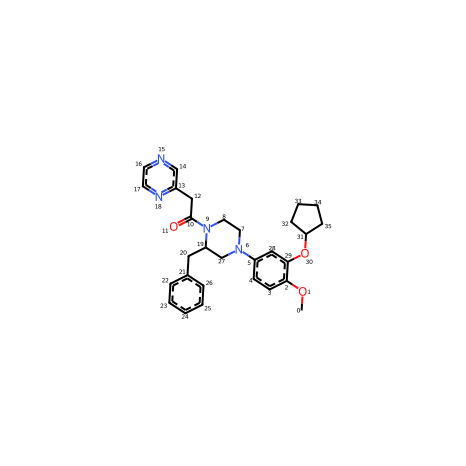 COc1ccc(N2CCN(C(=O)Cc3cnccn3)C(Cc3ccccc3)C2)cc1OC1CCCC1